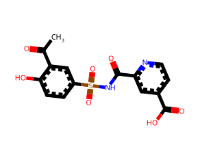 CC(=O)c1cc(S(=O)(=O)NC(=O)c2cc(C(=O)O)ccn2)ccc1O